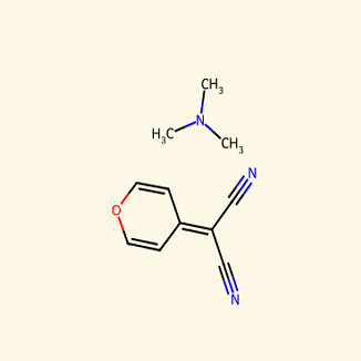 CN(C)C.N#CC(C#N)=C1C=COC=C1